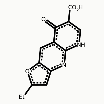 CCc1cc2nc3[nH]cc(C(=O)O)c(=O)c3cc2o1